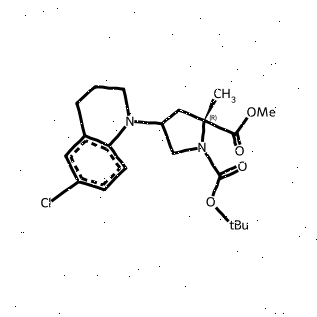 COC(=O)[C@@]1(C)CC(N2CCCc3cc(Cl)ccc32)CN1C(=O)OC(C)(C)C